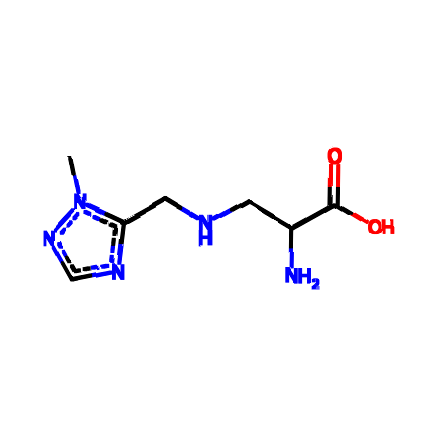 Cn1ncnc1CNCC(N)C(=O)O